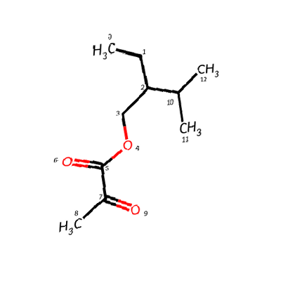 CCC(COC(=O)C(C)=O)C(C)C